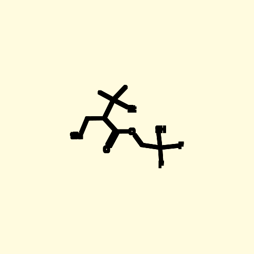 CCC(C)(C)C(CC(C)(C)C)C(=O)OCC(F)(F)S